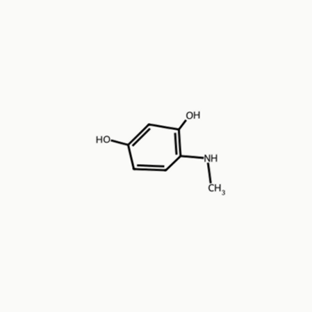 CNc1ccc(O)cc1O